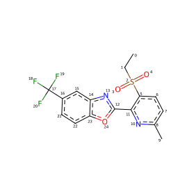 CCS(=O)(=O)c1ccc(C)nc1-c1nc2cc(C(F)(F)F)ccc2o1